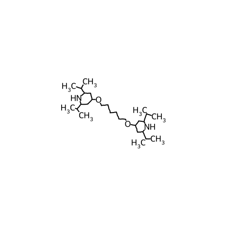 CC(C)C1CC(OCCCCCCOC2CC(C(C)C)NC(C(C)C)C2)CC(C(C)C)N1